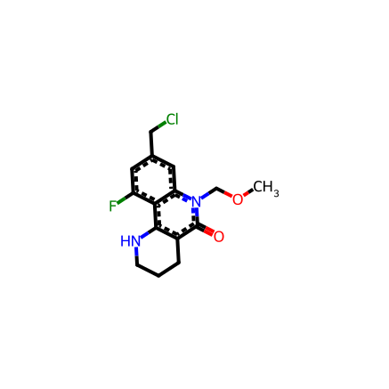 COCn1c(=O)c2c(c3c(F)cc(CCl)cc31)NCCC2